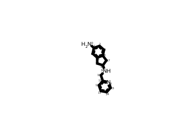 Nc1ccc2c(c1)CC(NCc1ccccn1)C2